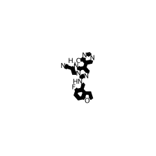 Cc1ncncc1-c1cnc(NCc2c(F)ccc3c2CCO3)n2cc(C#N)nc12